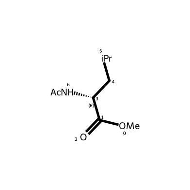 COC(=O)[C@@H](CC(C)C)NC(C)=O